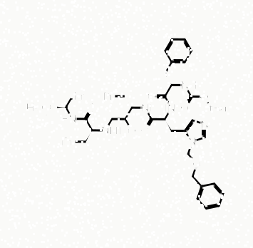 CC(C)C[C@H](NCC(O)[C@H](CC(C)C)NC(=O)[C@H](Cc1cncn1COCc1ccccc1)NC(=O)[C@H](Cc1ccccc1)NC(=O)OC(C)(C)C)C(=O)N[C@@H](C(=O)O)C(C)C